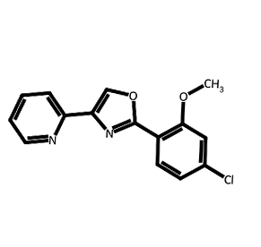 COc1cc(Cl)ccc1-c1nc(-c2ccccn2)co1